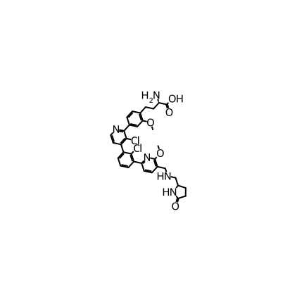 COc1cc(-c2nccc(-c3cccc(-c4ccc(CNCC5CCC(=O)N5)c(OC)n4)c3Cl)c2Cl)ccc1CC[C@@H](N)C(=O)O